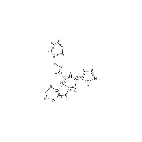 c1ccc(CCNc2nc(-c3ccno3)nc3sc4c(c23)CCCC4)cc1